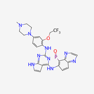 CN1CCN(c2ccc(Nc3nc(Nc4ccc5nccnc5c4P=O)c4cc[nH]c4n3)c(OCC(F)(F)F)c2)CC1